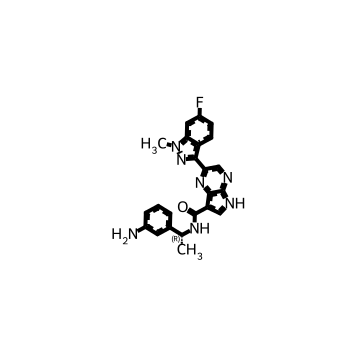 C[C@@H](NC(=O)c1c[nH]c2ncc(-c3nn(C)c4cc(F)ccc34)nc12)c1cccc(N)c1